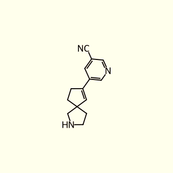 N#Cc1cncc(C2=CC3(CCNC3)CC2)c1